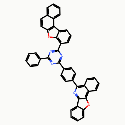 c1ccc(-c2nc(-c3ccc(-c4nc5c6ccccc6oc5c5ccccc45)cc3)nc(-c3cccc4c3oc3ccc5ccccc5c34)n2)cc1